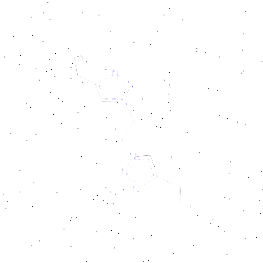 CC(C)Cc1cn(CCn2cc(CC(C)(C)C)nn2)nn1